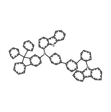 c1ccc(C2(c3ccccc3)c3ccccc3-c3ccc(N(c4ccc(-c5cccc(-c6ccccc6-n6c7ccccc7c7ccccc76)c5)cc4)c4cccc5c4sc4ccccc45)cc32)cc1